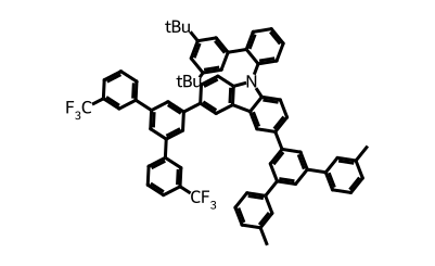 Cc1cccc(-c2cc(-c3cccc(C)c3)cc(-c3ccc4c(c3)c3cc(-c5cc(-c6cccc(C(F)(F)F)c6)cc(-c6cccc(C(F)(F)F)c6)c5)ccc3n4-c3ccccc3-c3cc(C(C)(C)C)cc(C(C)(C)C)c3)c2)c1